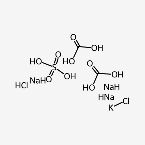 Cl.O=C(O)O.O=C(O)O.O=S(=O)(O)O.[Cl][K].[NaH].[NaH].[NaH]